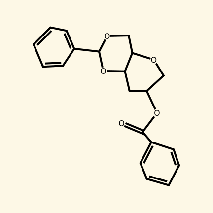 O=C(OC1COC2COC(c3ccccc3)OC2C1)c1ccccc1